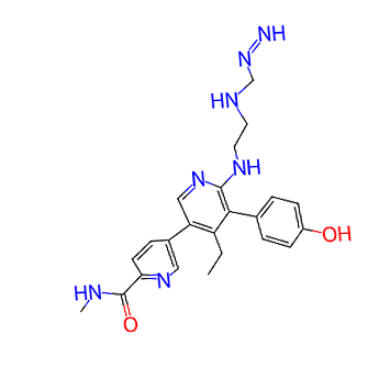 CCc1c(-c2ccc(C(=O)NC)nc2)cnc(NCCNCN=N)c1-c1ccc(O)cc1